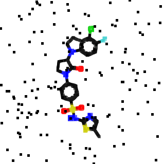 Cc1cnc(NS(=O)(=O)c2ccc(N3CCC(N4CCc5c4ccc(F)c5Cl)C3=O)cc2)s1